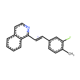 Cc1ccc(/C=C/c2nccc3ccccc23)cc1F